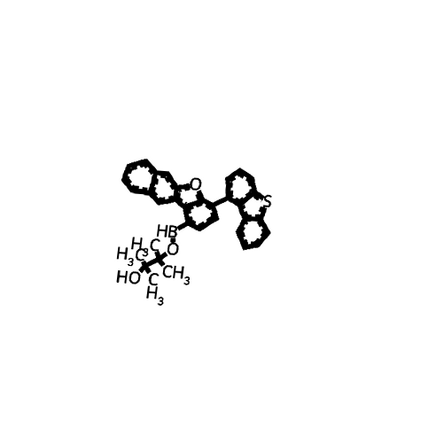 CC(C)(O)C(C)(C)OBc1ccc(-c2cccc3sc4ccccc4c23)c2oc3cc4ccccc4cc3c12